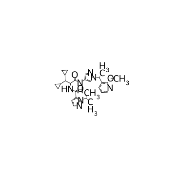 COc1ncccc1C(C)n1cc(NC(=O)C(NC(=O)c2ccnn2C(C)C)C(C2CC2)C2CC2)cn1